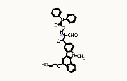 Cn1c2ccc(C(=O)/C(C=O)=N/OC(=O)N(c3ccccc3)c3ccccc3)cc2c2cc(OCCO)c3ccccc3c21